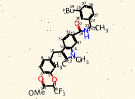 COC(=O)C(Oc1cccc(Cc2c(C)n(C)c3cc(C(=O)N[C@@H](C)c4cccc(C(C)(C)C)c4)ccc23)c1)C(F)(F)F